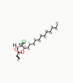 C=CC(=O)OC(CCCCCCCCCCCC)[SiH2]Cl